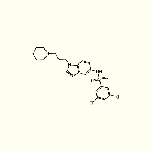 O=S(=O)(Nc1ccc2c(ccn2CCCN2CCCCC2)c1)c1cc(Cl)cc(Cl)c1